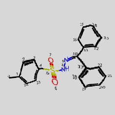 Cc1ccc(S(=O)(=O)NN=C(c2ccccc2)c2ccccc2)cc1